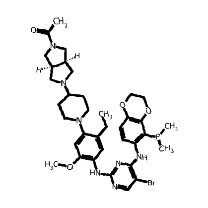 CCc1cc(Nc2ncc(Br)c(Nc3ccc4c(c3P(C)C)OCCO4)n2)c(OC)cc1N1CCC(N2C[C@H]3CN(C(C)=O)C[C@H]3C2)CC1